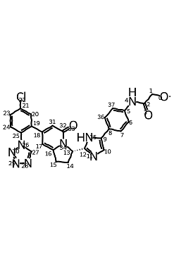 [O]CC(=O)Nc1ccc(-c2cnc([C@@H]3CCc4cc(-c5cc(Cl)ccc5-n5cnnn5)cc(=O)n43)[nH]2)cc1